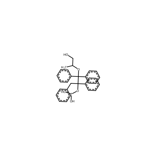 CC(CO)OC(c1ccccc1)(c1ccccc1)C(Cc1ccccc1)(OP(O)O)c1ccccc1